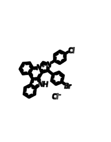 Clc1ccc(-n2c[n+]3c4ccccc4c4c5ccccc5[nH]c4c3c2-c2ccc(Br)cc2)cc1.[Cl-]